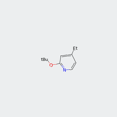 CCc1ccnc(OC(C)(C)C)c1